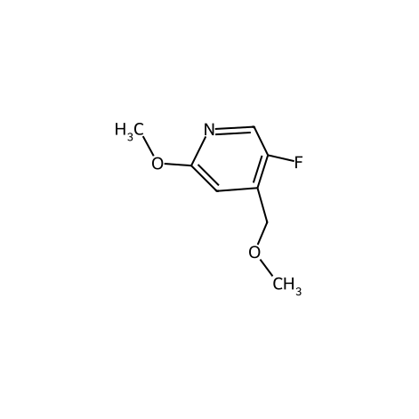 COCc1cc(OC)ncc1F